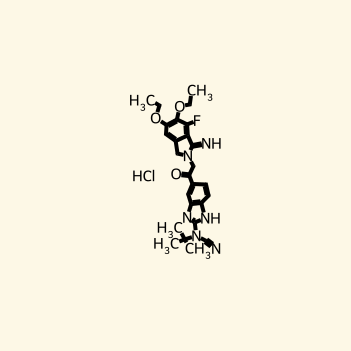 CCOc1cc2c(c(F)c1OCC)C(=N)N(CC(=O)c1ccc3[nH]c(N(C#N)C(C)(C)C)nc3c1)C2.Cl